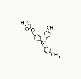 C=CC(=O)OCc1ccc(N(Cc2ccc(C)cc2)Cc2ccc(C)cc2)cc1